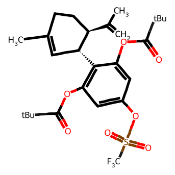 C=C(C)[C@@H]1CCC(C)=C[C@H]1c1c(OC(=O)C(C)(C)C)cc(OS(=O)(=O)C(F)(F)F)cc1OC(=O)C(C)(C)C